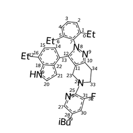 CCc1cccc(CC)c1-n1nc2c(c1-c1ccc(CC)c3[nH]ccc13)CN(c1ncc(C(C)CC)cc1F)CC2